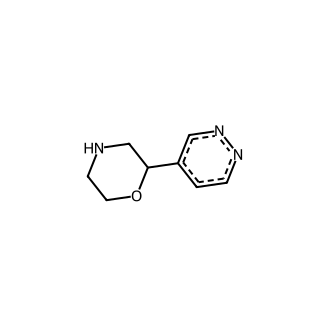 c1cc(C2CNCCO2)cnn1